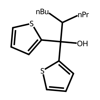 CCCCC(CCC)C(O)(c1cccs1)c1cccs1